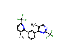 Cc1ccc(C(F)(F)F)nc1-c1cccc(-c2nc(C(F)(F)F)ncc2C)c1